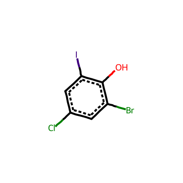 Oc1c(Br)cc(Cl)cc1I